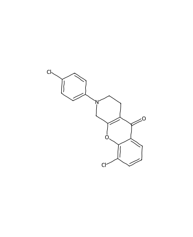 O=c1c2c(oc3c(Cl)cccc13)CN(c1ccc(Cl)cc1)CC2